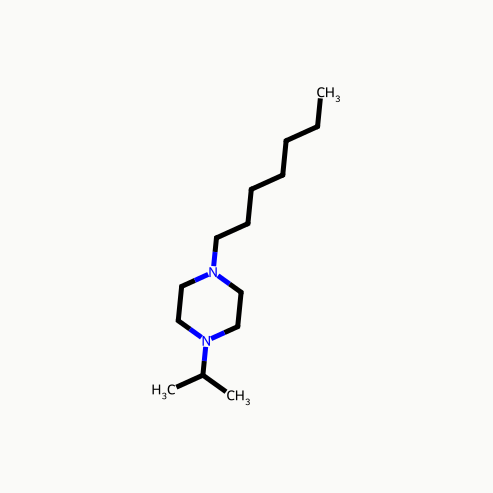 CCCCCCCN1CCN(C(C)C)CC1